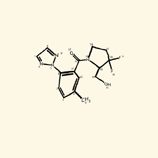 Cc1ccc(-n2nccn2)c(C(=O)N2CCC(F)(F)C2CO)c1